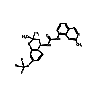 Cc1cc2c(NC(=O)N[C@@H]3CC(C)(C)Oc4cc(OC(F)(F)F)ccc43)cccc2cn1